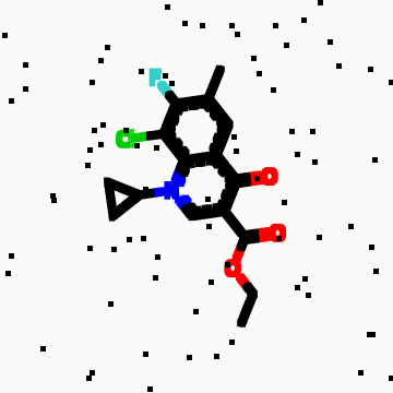 CCOC(=O)c1cn(C2CC2)c2c(Cl)c(F)c(C)cc2c1=O